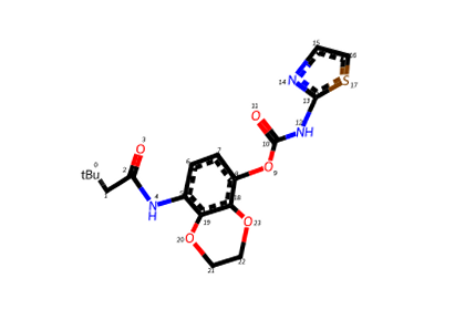 CC(C)(C)CC(=O)Nc1ccc(OC(=O)Nc2nccs2)c2c1OCCO2